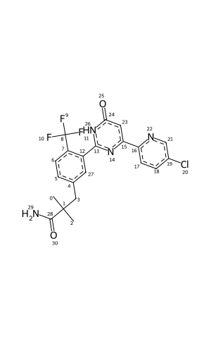 CC(C)(Cc1ccc(C(F)(F)F)c(-c2nc(-c3ccc(Cl)cn3)cc(=O)[nH]2)c1)C(N)=O